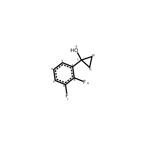 OC1(c2cccc(F)c2F)CC1